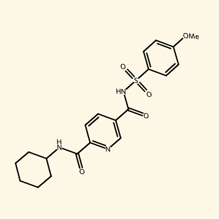 COc1ccc(S(=O)(=O)NC(=O)c2ccc(C(=O)NC3CCCCC3)nc2)cc1